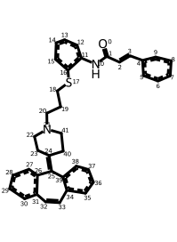 O=C(C=Cc1ccccc1)Nc1ccccc1SCCCN1CCC(=C2c3ccccc3C=Cc3ccccc32)CC1